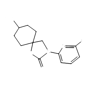 O=CC1CCC2(CC1)CN(c1cccc(F)n1)C(=O)O2